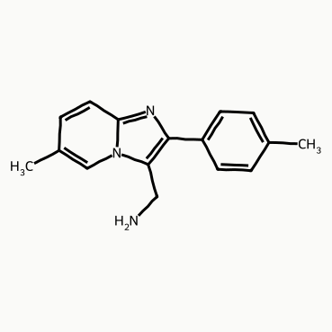 Cc1ccc(-c2nc3ccc(C)cn3c2CN)cc1